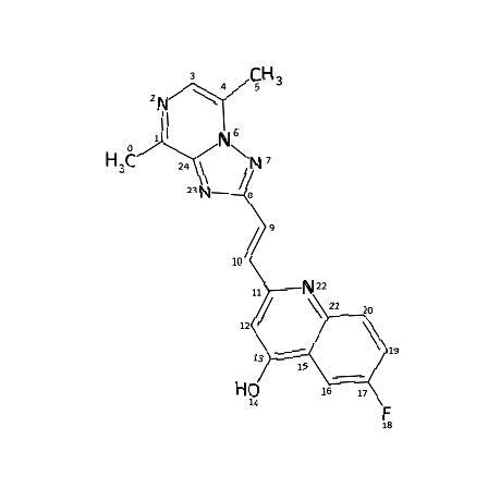 Cc1ncc(C)n2nc(C=Cc3cc(O)c4cc(F)ccc4n3)nc12